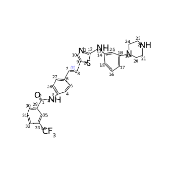 O=C(Nc1ccc(/C=C/c2cnc(Nc3cccc(N4CCNCC4)c3)s2)cc1)c1cccc(C(F)(F)F)c1